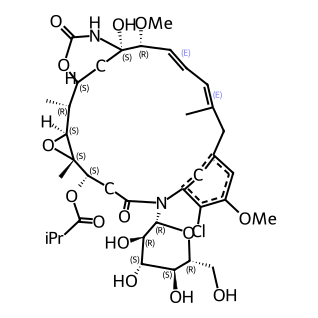 COc1cc2cc(c1Cl)N([C@@H]1O[C@H](CO)[C@@H](O)[C@H](O)[C@H]1O)C(=O)C[C@H](OC(=O)C(C)C)[C@]1(C)O[C@H]1[C@H](C)[C@@H]1C[C@@](O)(NC(=O)O1)[C@H](OC)/C=C/C=C(\C)C2